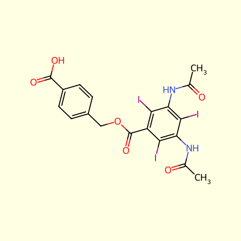 CC(=O)Nc1c(I)c(NC(C)=O)c(I)c(C(=O)OCc2ccc(C(=O)O)cc2)c1I